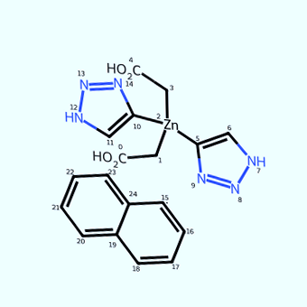 O=C(O)[CH2][Zn]([CH2]C(=O)O)([c]1c[nH]nn1)[c]1c[nH]nn1.[c]1cccc2ccccc12